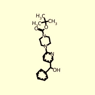 CC(C)(C)OC(=O)N1CCN(c2ccc(C(O)c3ccccc3)cn2)CC1